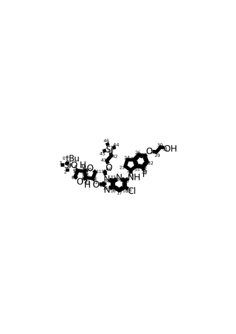 CC(C)(C)[Si](C)(C)O[C@@H]1CO[C@H]2[C@@H]1OC[C@H]2Oc1nc2cc(Cl)c(NC3CCc4cc(OCCO)cc(F)c43)nc2n1COCC[Si](C)(C)C